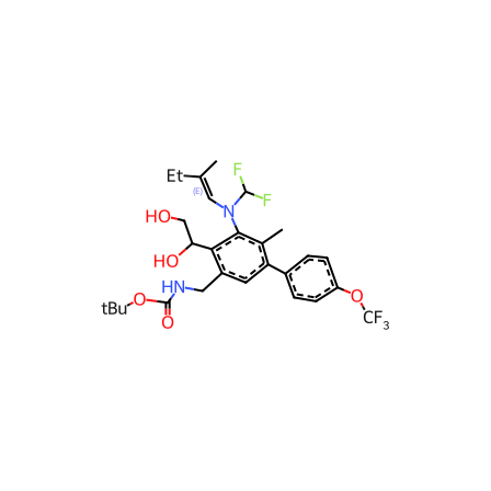 CC/C(C)=C/N(c1c(C)c(-c2ccc(OC(F)(F)F)cc2)cc(CNC(=O)OC(C)(C)C)c1C(O)CO)C(F)F